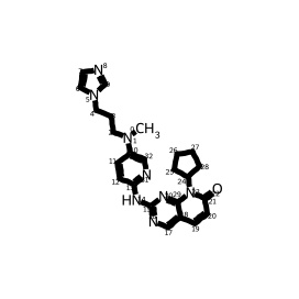 CN(CCCn1ccnc1)c1ccc(Nc2ncc3ccc(=O)n(C4CCCC4)c3n2)nc1